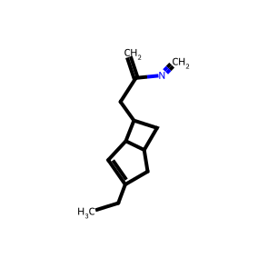 C=NC(=C)CC1CC2CC(CC)=CC12